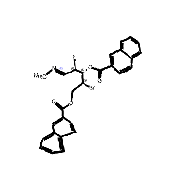 CO/N=C/[C@@H](F)[C@H](OC(=O)c1ccc2ccccc2c1)[C@@H](Br)COC(=O)c1ccc2ccccc2c1